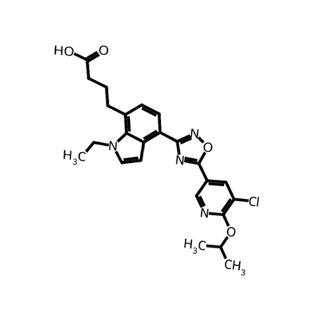 CCn1ccc2c(-c3noc(-c4cnc(OC(C)C)c(Cl)c4)n3)ccc(CCCC(=O)O)c21